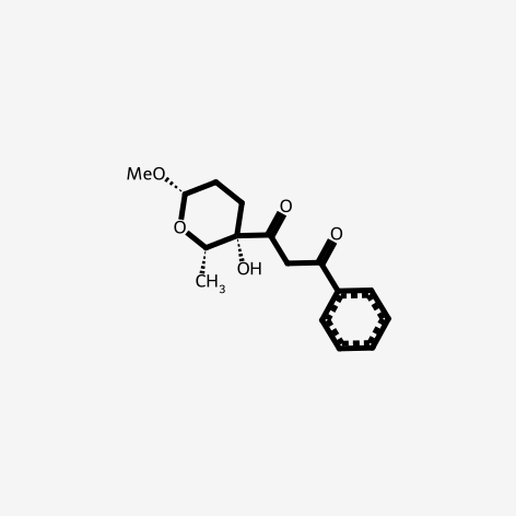 CO[C@@H]1CC[C@@](O)(C(=O)CC(=O)c2ccccc2)[C@H](C)O1